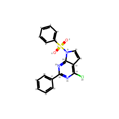 O=S(=O)(c1ccccc1)n1ccc2c(Cl)nc(-c3ccccc3)nc21